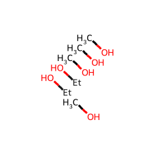 CCO.CCO.CO.CO.CO.CO